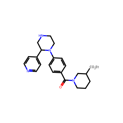 CCOC(=O)C1CCCN(C(=O)c2ccc(N3CCNCC3c3ccncc3)cc2)C1